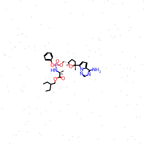 CCC(CC)COC(=O)[C@H](C)NP(=O)(OC[C@@H]1CC[C@](C)(c2ccc3c(N)ncnn23)O1)Oc1ccccc1